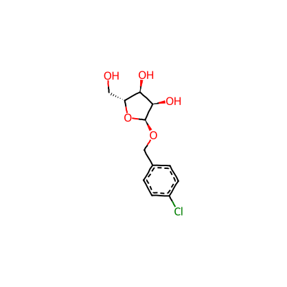 OC[C@H]1O[C@H](OCc2ccc(Cl)cc2)[C@H](O)[C@@H]1O